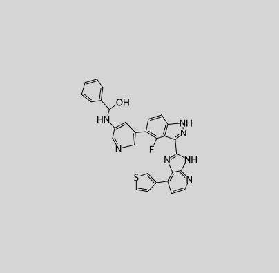 OC(Nc1cncc(-c2ccc3[nH]nc(-c4nc5c(-c6ccsc6)ccnc5[nH]4)c3c2F)c1)c1ccccc1